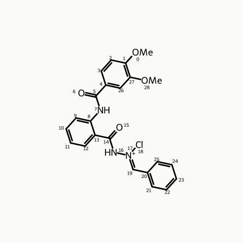 COc1ccc(C(=O)Nc2ccccc2C(=O)N[N+](Cl)=Cc2ccccc2)cc1OC